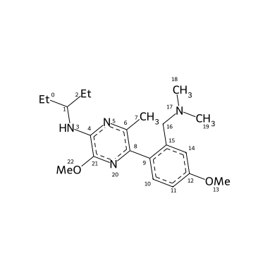 CCC(CC)Nc1nc(C)c(-c2ccc(OC)cc2CN(C)C)nc1OC